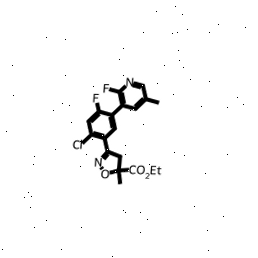 CCOC(=O)C1(C)CC(c2cc(-c3cc(C)cnc3F)c(F)cc2Cl)=NO1